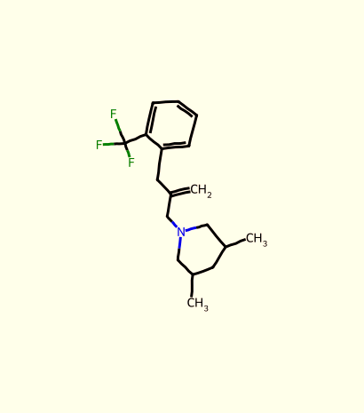 C=C(Cc1ccccc1C(F)(F)F)CN1CC(C)CC(C)C1